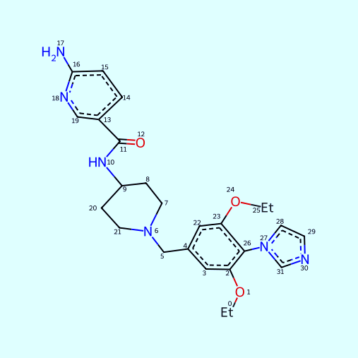 CCOc1cc(CN2CCC(NC(=O)c3ccc(N)nc3)CC2)cc(OCC)c1-n1ccnc1